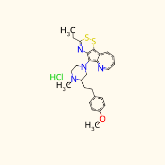 CCC1=Nc2c(c3ccccnc-3c2N2CCN(C)C(CCc3ccc(OC)cc3)C2)SS1.Cl